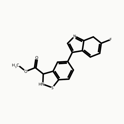 COC(=O)C1NSc2ccc(C3=CN=C4CC(F)=CC=C34)cc21